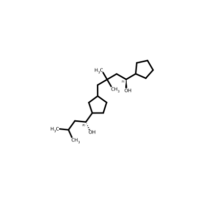 CC(C)C[C@@H](O)C1CCC(CC(C)(C)C[C@H](O)C2CCCC2)C1